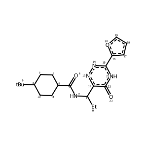 CCC(NC(=O)C1CCC(C(C)(C)C)CC1)c1nnc(-c2ccco2)[nH]c1=O